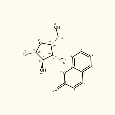 O=c1ccc2ccccc2o1.OC[C@H]1O[C@@H](S)[C@H](O)[C@H]1O